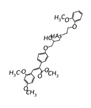 COC(=O)C(=Cc1ccc(OC)cc1OC)c1ccc(OCC(O)C[AsH]CCOc2ccccc2OC)cc1